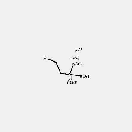 CCCCCCCC[PH](CCO)(CCCCCCCC)CCCCCCCC.Cl.N